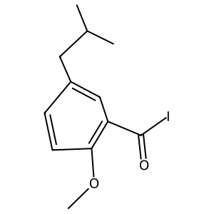 COc1ccc(CC(C)C)cc1C(=O)I